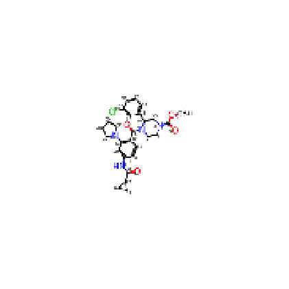 CC(C)(C)OC(=O)N1CCN(C(=O)c2ccc(NC(=O)C3CC3)cc2N2CCCC2)C(c2cccc(Cl)c2)C1